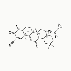 C[C@@H]1C(=O)C(C#N)=C[C@]2(C)C3=CC(=O)C4C5CC(C)(C)CC[C@]5(NC(=O)C5CC5)CC[C@@]4(C)[C@]3(C)CCC12